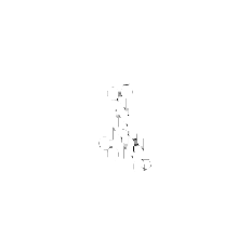 COC(=O)c1nc(N2CCN(C(=O)OC(C)(C)C)CC2)cn2nc(-c3ccco3)nc12